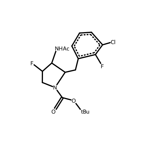 CC(=O)NC1C(F)CN(C(=O)OC(C)(C)C)C1Cc1cccc(Cl)c1F